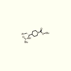 CC(C)C[C@@H](N[S@@+]([O-])C(C)(C)C)C1CCN(C(=O)OC(C)(C)C)CC1